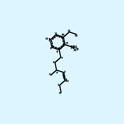 CC/N=C\C(C)CCc1cncc(CC)c1N